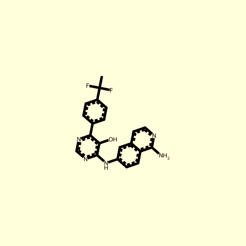 CC(F)(F)c1ccc(-c2ncnc(Nc3ccc4c(N)nccc4c3)c2O)cc1